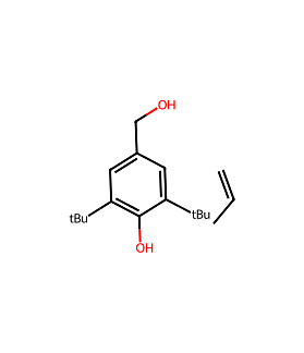 C=CC.CC(C)(C)c1cc(CO)cc(C(C)(C)C)c1O